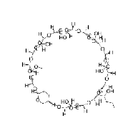 CCCC(O)[C@@H]1C[C@H]2CO[C@@H]1O[C@@H]1CO[C@H](O[C@H]3CC[C@H](OC3)O[C@@H]3CO[C@H](O[C@@H]4CO[C@H](O[C@@H]5CO[C@H](O[C@@H]6CO[C@H](O[C@@H]7CO[C@H](O2)[C@H](O)C7)[C@H](O)C6)[C@H](O)C5)[C@H](O)C4)[C@H](OC)C3)[C@H](O)C1